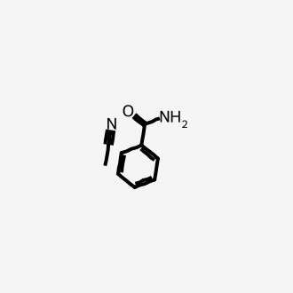 CC#N.NC(=O)c1ccccc1